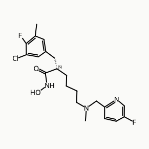 Cc1cc(C[C@H](CCCCN(C)Cc2ccc(F)cn2)C(=O)NO)cc(Cl)c1F